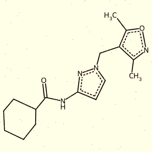 Cc1noc(C)c1Cn1ccc(NC(=O)C2CCCCC2)n1